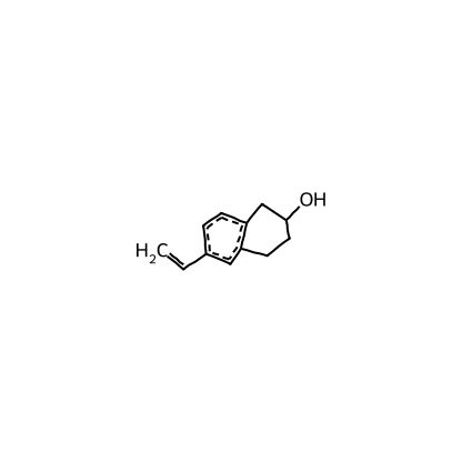 C=Cc1ccc2c(c1)CCC(O)C2